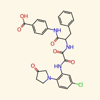 O=C1CCN(c2ccc(Cl)cc2NC(=O)C(=O)NC(Cc2ccccc2)C(=O)Nc2ccc(C(=O)O)cc2)C1